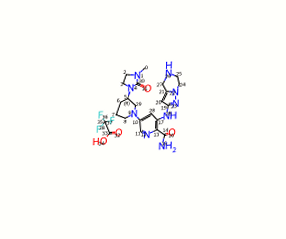 CN1CCN([C@@H]2CCCN(c3cnc(C(N)=O)c(Nc4cc5n(n4)CCNC5)c3)C2)C1=O.O=C(O)C(F)(F)F